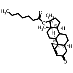 CCCCCCC(=O)O[C@@]1(C)CC[C@H]2C3CC[C@H]4CC(=O)C=C5C[C@]54[C@H]3CC[C@@]21C